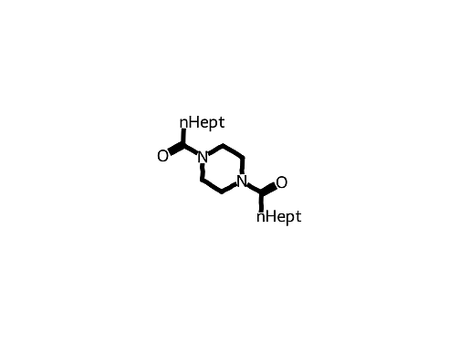 CCCCCCCC(=O)N1CCN(C(=O)CCCCCCC)CC1